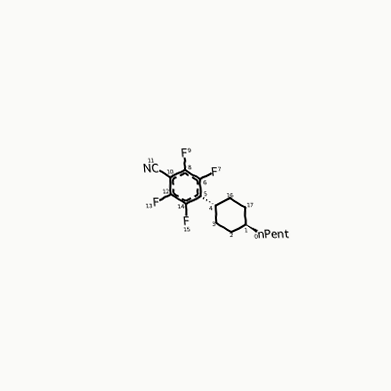 CCCCC[C@H]1CC[C@H](c2c(F)c(F)c(C#N)c(F)c2F)CC1